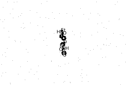 CCNC(=O)n1ccc2cc(Oc3ccnc(NC(=O)N4CCOCC4)c3)ccc21